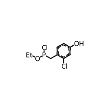 CCOP(Cl)Cc1ccc(O)cc1Cl